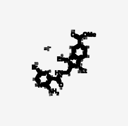 CCn1c(CNC(=O)c2nc(Br)cnc2N)[n+](CC)c2ccc(C(=O)OC)cc21.[I-]